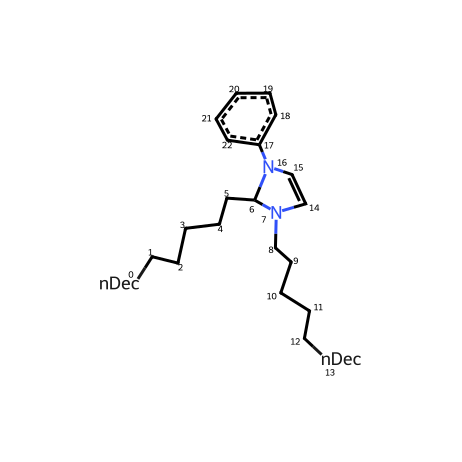 CCCCCCCCCCCCCCCC1N(CCCCCCCCCCCCCCC)C=CN1c1ccccc1